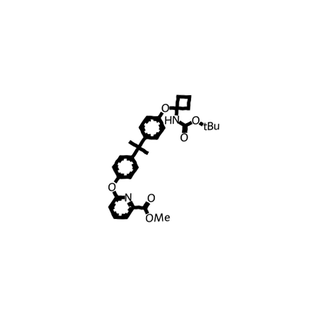 COC(=O)c1cccc(Oc2ccc(C(C)(C)c3ccc(OC4(NC(=O)OC(C)(C)C)CCC4)cc3)cc2)n1